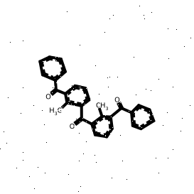 Cc1c(C(=O)c2ccccc2)cccc1C(=O)c1cccc(C(=O)c2ccccc2)c1C